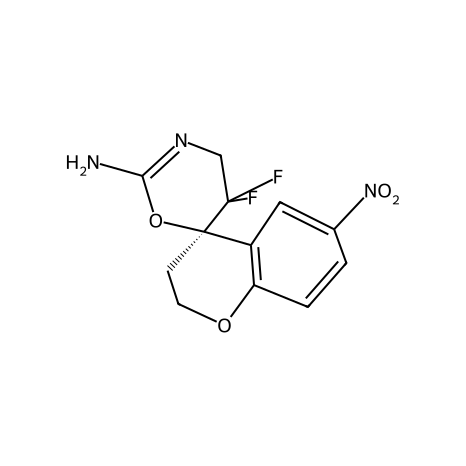 NC1=NCC(F)(F)[C@]2(CCOc3ccc([N+](=O)[O-])cc32)O1